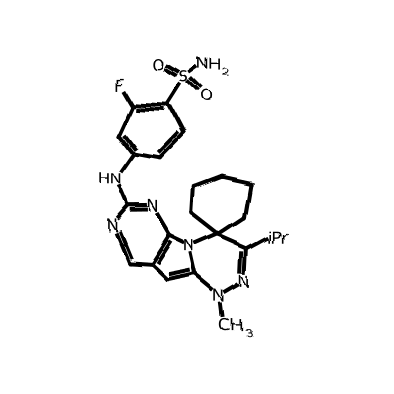 CC(C)C1=NN(C)c2cc3cnc(Nc4ccc(S(N)(=O)=O)c(F)c4)nc3n2C12CCCCC2